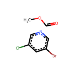 COC=O.Clc1cncc(Br)c1